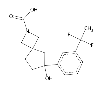 CC(F)(F)c1cccc(C2(O)CCC3(CN(C(=O)O)C3)C2)c1